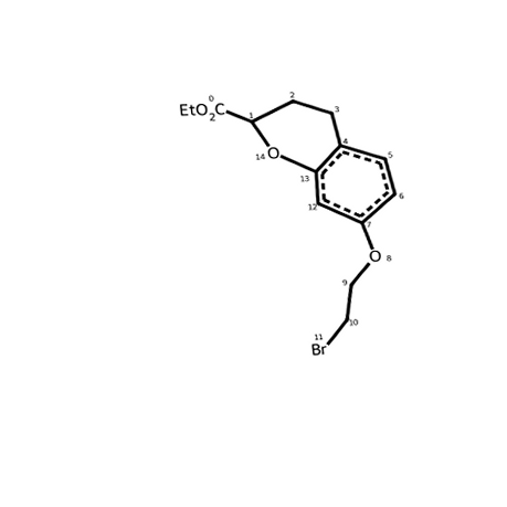 CCOC(=O)C1CCc2ccc(OCCBr)cc2O1